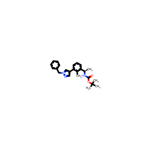 Cc1c(-c2cnn(Cc3ccccc3)c2)cccc1[C@@H](C)NC(=O)OC(C)(C)C